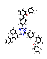 c1ccc(-c2ccc(-c3nc(-c4ccc(-c5cccc6c5oc5ccccc56)cc4)nc(-c4ccc(-c5cccc6c5oc5ccccc56)cc4)n3)c3ccccc23)cc1